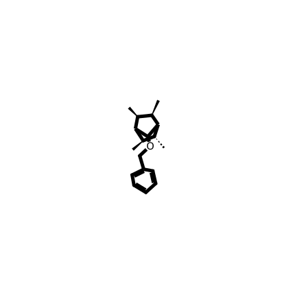 C[C@@H]1C2C(OCc3ccccc3)C([C@@H]1C)[C@H](C)[C@H]2C